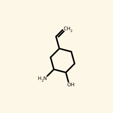 C=CC1CCC(O)C(N)C1